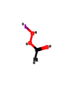 CCC(=O)OOI